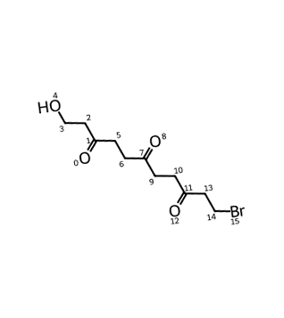 O=C(CCO)CCC(=O)CCC(=O)CCBr